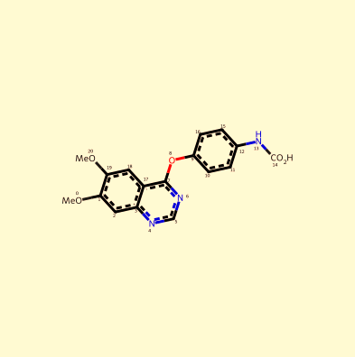 COc1cc2ncnc(Oc3ccc(NC(=O)O)cc3)c2cc1OC